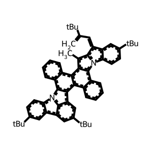 C=C(/C=c1/c2cc(C(C)(C)C)ccc2n2c1c(C)c1c3c4ccccc4c4c(c5cc(C(C)(C)C)cc6c7cc(C(C)(C)C)ccc7n4c65)c3c3ccccc3c12)C(C)(C)C